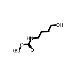 CC(C)(C)OC(=O)NCC[CH]CO